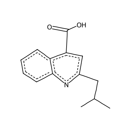 CC(C)Cc1cc(C(=O)O)c2ccccc2n1